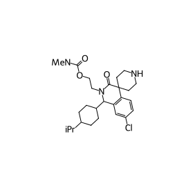 CNC(=O)OCCN1C(=O)C2(CCNCC2)c2ccc(Cl)cc2C1C1CCC(C(C)C)CC1